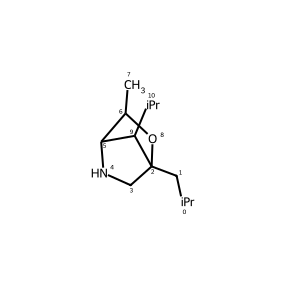 CC(C)CC12CNC(C(C)O1)C2C(C)C